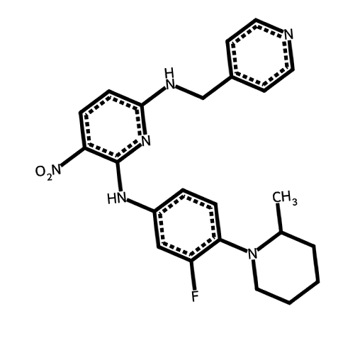 CC1CCCCN1c1ccc(Nc2nc(NCc3ccncc3)ccc2[N+](=O)[O-])cc1F